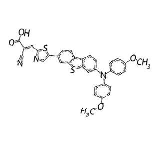 COc1ccc(N(c2ccc(OC)cc2)c2ccc3c(c2)sc2cc(-c4cnc(/C=C(\C#N)C(=O)O)s4)ccc23)cc1